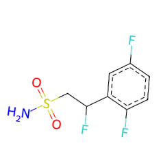 NS(=O)(=O)CC(F)c1cc(F)ccc1F